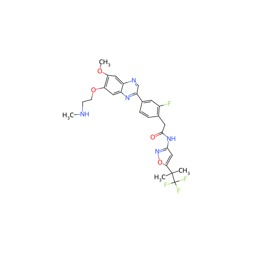 CNCCOc1cc2nc(-c3ccc(CC(=O)Nc4cc(C(C)(C)C(F)(F)F)on4)c(F)c3)cnc2cc1OC